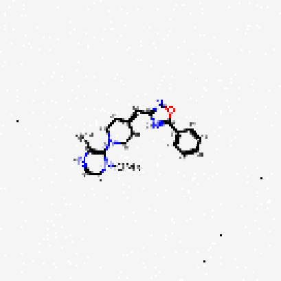 CON1CC=NC(C#N)=C1N1CCC(=Cc2noc(-c3ccccc3)n2)CC1